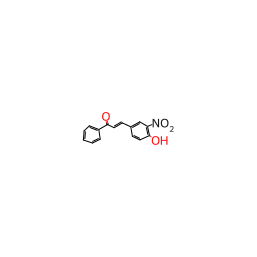 O=C(/C=C/c1ccc(O)c([N+](=O)[O-])c1)c1ccccc1